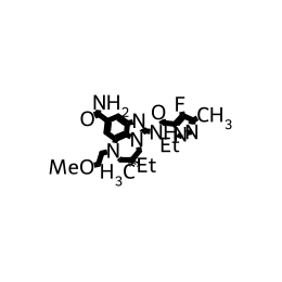 CCn1nc(C)c(F)c1C(=O)Nc1nc2cc(C(N)=O)cc3c2n1C[C@](C)(CC)CN3CCOC